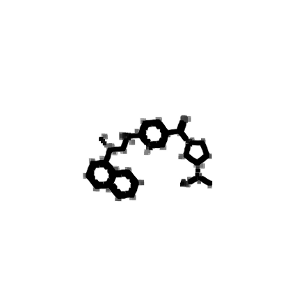 CC(=O)N(C)[C@H]1CCN(C(=O)c2ccc(NC[C@@H](C)c3cccc4ccccc34)nc2)C1